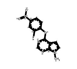 Cn1ccc2c(Oc3ccc([N+](=O)[O-])cc3F)ncnc21